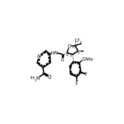 COc1c([C@@H]2[C@H](C(=O)Nc3cncc(C(N)=O)c3)O[C@](C)(C(F)(F)F)[C@H]2C)ccc(F)c1F